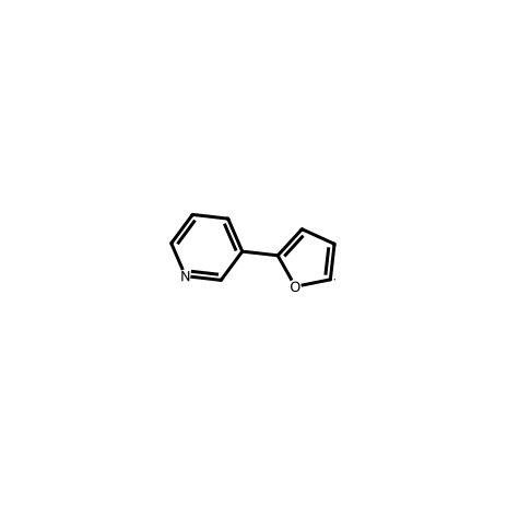 [c]1ccc(-c2cccnc2)o1